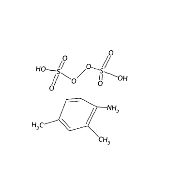 Cc1ccc(N)c(C)c1.O=S(=O)(O)OOS(=O)(=O)O